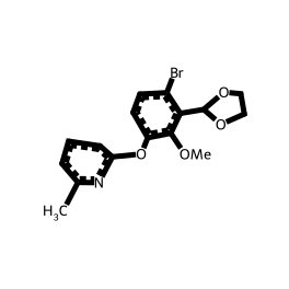 COc1c(Oc2cccc(C)n2)ccc(Br)c1C1OCCO1